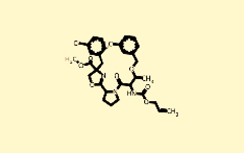 C=CCOC(=O)NC(C(=O)N1CCCC1C1=NC(Cc2cccc(Cl)c2)(C(=O)OC)CO1)C(C)OCc1cccc(C)c1